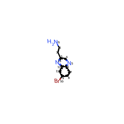 NCCc1cnc2ccc(Br)cc2n1